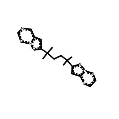 CC(C)(CCC(C)(C)c1cc2nccnn2n1)c1cc2cncnn2n1